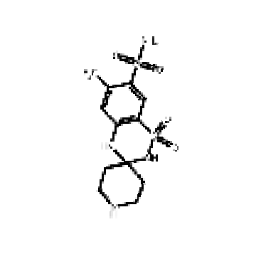 NS(=O)(=O)c1cc2c(cc1C(F)(F)F)NC1(CCNCC1)NS2(=O)=O